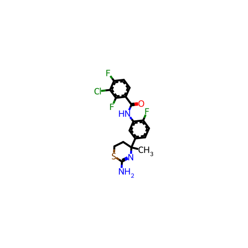 CC1(c2ccc(F)c(NC(=O)c3ccc(F)c(Cl)c3F)c2)CCSC(N)=N1